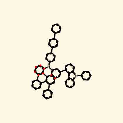 c1ccc(-c2ccc(-c3ccc(N(c4cccc(-c5cccc6c5c5ccccc5n6-c5ccccc5)c4)c4ccccc4-c4cccc(-c5ccccc5)c4-c4ccccc4-c4ccccc4)cc3)cc2)cc1